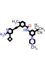 Cc1ccc(C(=O)Nc2cc(N3CCN(C)CC3)cc(C(C)(C)C#N)c2)cc1C#Cc1cnc(N)c(C2CCC2)c1